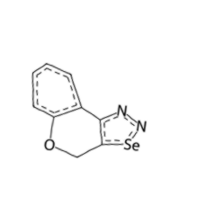 c1ccc2c(c1)OCc1[se]nnc1-2